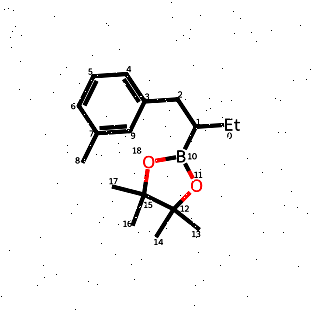 CCC(Cc1cccc(C)c1)B1OC(C)(C)C(C)(C)O1